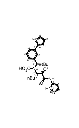 CCCC[C@@H](C(=O)C(=O)Nc1ccn[nH]1)N(C(=O)O)C(c1cccc(-c2cccs2)c1)C(C)(C)C